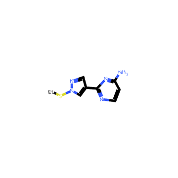 CCSn1cc(-c2nccc(N)n2)cn1